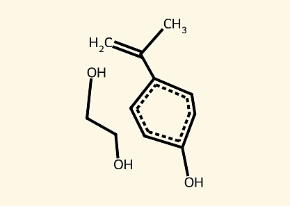 C=C(C)c1ccc(O)cc1.OCCO